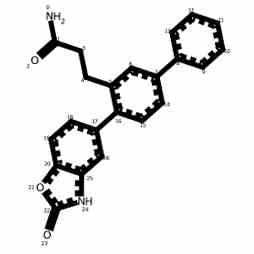 NC(=O)CCc1cc(-c2ccccc2)ccc1-c1ccc2oc(=O)[nH]c2c1